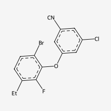 [C-]#[N+]c1cc(Cl)cc(Oc2c(Br)ccc(CC)c2F)c1